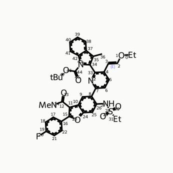 CCO/C=C/c1ccc(-c2cc3c(C(=O)NC)c(-c4ccc(F)cc4)oc3cc2NS(=O)(=O)CC)nc1-c1c(C)c2ccccc2n1C(=O)OC(C)(C)C